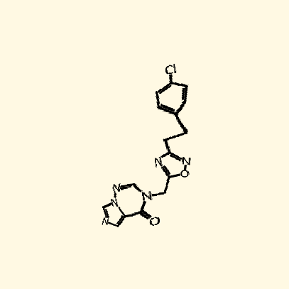 O=c1c2cncn2ncn1Cc1nc(CCc2ccc(Cl)cc2)no1